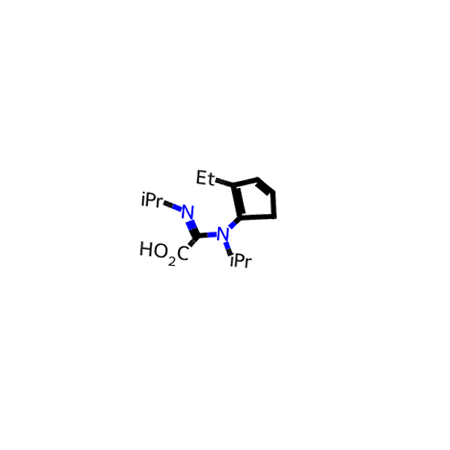 CCC1=C(N(C(=NC(C)C)C(=O)O)C(C)C)CC=C1